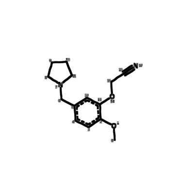 COc1ccc(CN2CCCC2)cc1OCC#N